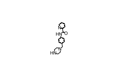 O=C(Nc1ccc(CN2CCNCC2)cc1)c1ccccn1